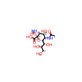 CC(=O)N[C@H]1[C@H]([C@H](O)[C@H](O)CO)OC(O)(C(=O)O)C[C@@H]1O.N